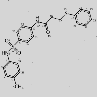 Cc1ccc(NS(=O)(=O)c2ccc(NC(=O)CCSc3ccccc3)cc2)cc1